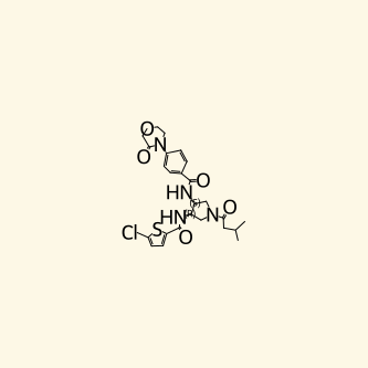 CC(C)CC(=O)N1C[C@H](NC(=O)c2ccc(N3CCOCC3=O)cc2)[C@H](NC(=O)c2ccc(Cl)s2)C1